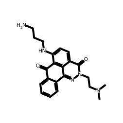 CN(C)CCn1nc2c3c(c(NCCCN)ccc3c1=O)C(=O)c1ccccc1-2